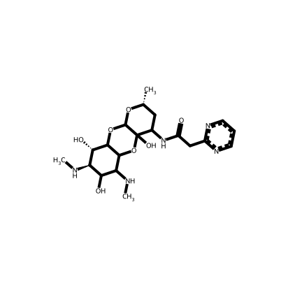 CNC1C2OC3(O)C(NC(=O)Cc4ncccn4)C[C@@H](C)OC3OC2[C@@H](O)[C@H](NC)C1O